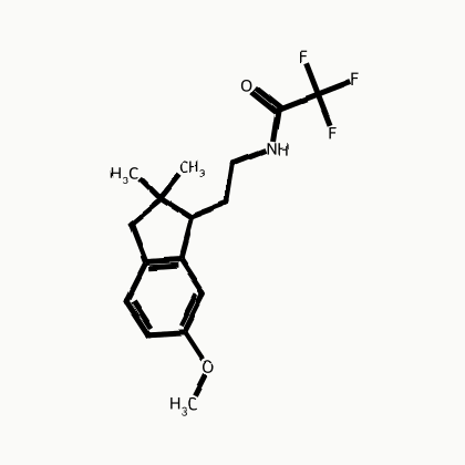 COc1ccc2c(c1)C(CCNC(=O)C(F)(F)F)C(C)(C)C2